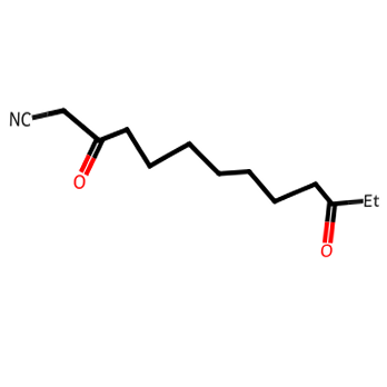 CCC(=O)CCCCCCCC(=O)CC#N